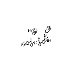 O=C(NC1CCN(C(=O)Nc2ccc(C(F)(F)F)cc2)CC1)c1ccc2[nH]c3c(c2c1)CN(Cc1ccc(C(F)(F)F)cc1)CC3.O=C(O)C(F)(F)F